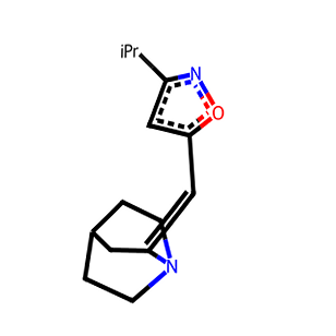 CC(C)c1cc(/C=C2\CC3CCN2CC3)on1